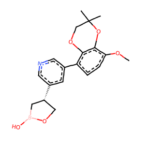 COc1ccc(-c2cncc([C@@H]3COB(O)C3)c2)c2c1OC(C)(C)CO2